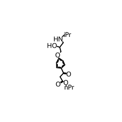 CCCOC(=O)CC(=O)c1ccc(OCC(O)CNC(C)C)cc1